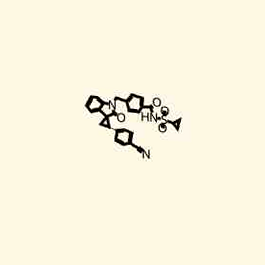 N#Cc1ccc([C@@H]2CC23C(=O)N(Cc2ccc(C(=O)NS(=O)(=O)C4CC4)cc2)c2ccccc23)cc1